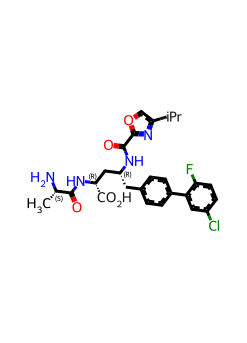 CC(C)c1coc(C(=O)N[C@H](Cc2ccc(-c3cc(Cl)ccc3F)cc2)C[C@@H](NC(=O)[C@H](C)N)C(=O)O)n1